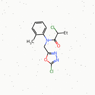 CCC(Cl)C(=O)N(Cc1nnc(Cl)o1)c1ccccc1C